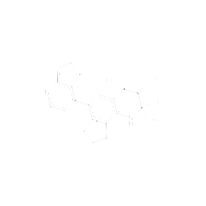 CC1(C)Nc2c(cc(-c3ccnc4sccc34)c3c2CCC3)C(C)(C)C1=O